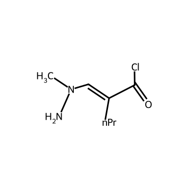 CCC/C(=C\N(C)N)C(=O)Cl